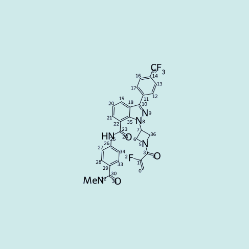 C=C(F)C(=O)N1CC(n2nc(-c3ccc(C(F)(F)F)cc3)c3cccc(C(=O)Nc4ccc(C(=O)NC)cc4)c32)C1